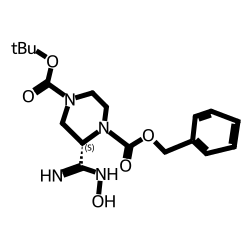 CC(C)(C)OC(=O)N1CCN(C(=O)OCc2ccccc2)[C@H](C(=N)NO)C1